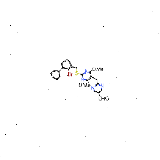 COc1nc(SCc2cccc(-c3ccccc3)c2Br)nc(OC)c1Cc1ncc(C=O)cn1